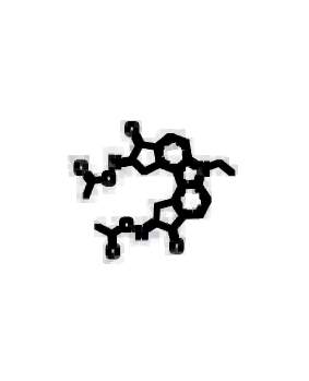 CCn1c2ccc3c(c2c2c4c(ccc21)C(=O)/C(=N/OC(C)=O)C4)C/C(=N\OC(C)=O)C3=O